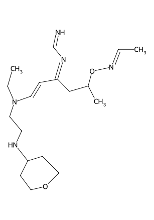 C/C=N/OC(C)CC(/C=C/N(CC)CCNC1CCOCC1)=N/C=N